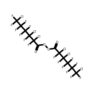 O=C(OOC(=O)C(F)(Cl)C(F)(Cl)C(F)(F)C(F)(F)C(F)(F)Cl)C(F)(Cl)C(F)(Cl)C(F)(F)C(F)(F)C(F)(F)Cl